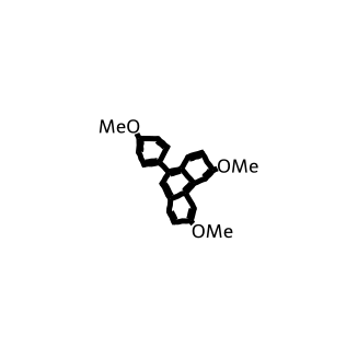 COc1ccc(-c2cc3ccc(OC)cc3c3cc(OC)ccc23)cc1